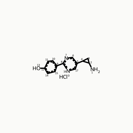 Cl.NC1CC1c1cnc(-c2ccc(O)cc2)nc1